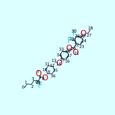 CCCC[C@H](F)C(=O)O[C@H]1CC[C@H](COc2ccc(OC(=O)c3ccc(OCC)c(F)c3F)cc2)CC1